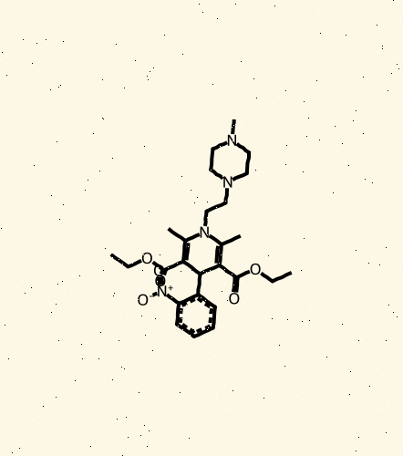 CCOC(=O)C1=C(C)N(CCN2CCN(C)CC2)C(C)=C(C(=O)OCC)C1c1ccccc1[N+](=O)[O-]